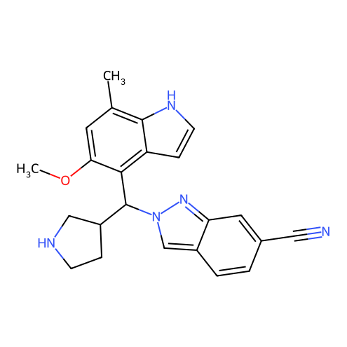 COc1cc(C)c2[nH]ccc2c1C(C1CCNC1)n1cc2ccc(C#N)cc2n1